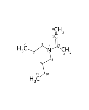 C=C=C(C)N(CCC)CCCC